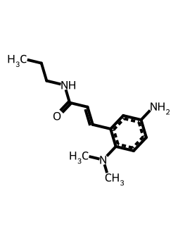 CCCNC(=O)C=Cc1cc(N)ccc1N(C)C